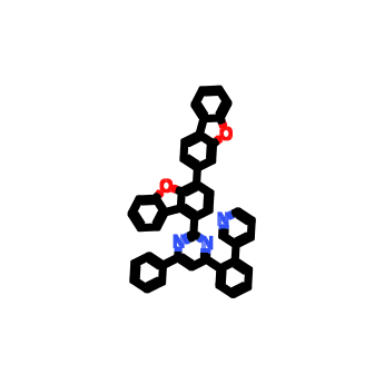 c1ccc(-c2cc(-c3ccccc3-c3cccnc3)nc(-c3ccc(-c4ccc5c(c4)oc4ccccc45)c4oc5ccccc5c34)n2)cc1